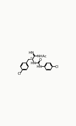 CC(=O)NC(=N)[C@H](Cc1ccc(Cl)cc1)NC(=O)Nc1ccc(Cl)cc1